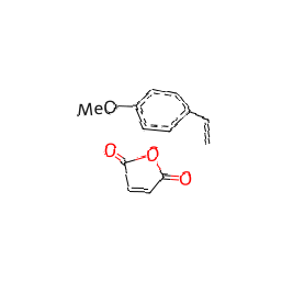 C=Cc1ccc(OC)cc1.O=C1C=CC(=O)O1